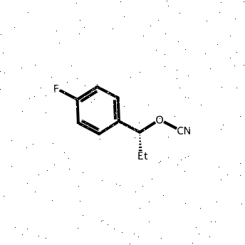 CC[C@@H](OC#N)c1ccc(F)cc1